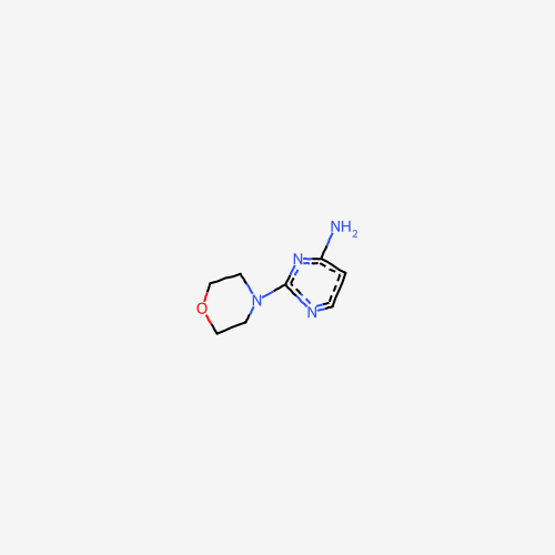 Nc1ccnc(N2CCOCC2)n1